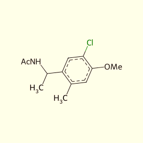 COc1cc(C)c(C(C)NC(C)=O)cc1Cl